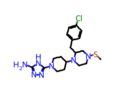 CSN1CCN(C2CCN(c3nnc(N)[nH]3)CC2)C(Cc2ccc(Cl)cc2)C1